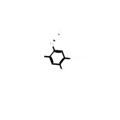 O=C=Nc1cc(C(=O)O)c(Cl)cc1F